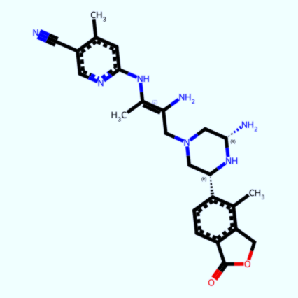 C/C(Nc1cc(C)c(C#N)cn1)=C(/N)CN1C[C@@H](c2ccc3c(c2C)COC3=O)N[C@@H](N)C1